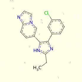 CCc1nc(-c2cccc(Cl)c2)c(-c2ccc3nccn3c2)[nH]1